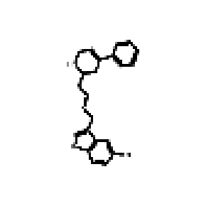 Oc1ccc2[nH]cc(CCCCC3CC(c4ccccc4)=CCN3)c2c1